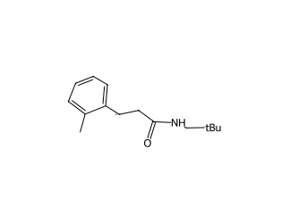 Cc1ccccc1[CH]CC(=O)NCC(C)(C)C